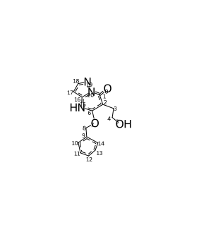 O=c1c(CCO)c(OCc2ccccc2)[nH]c2ccnn12